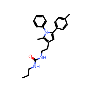 CCCNC(=O)NCCc1cc(-c2ccc(C)cc2)n(-c2ccccc2)c1C